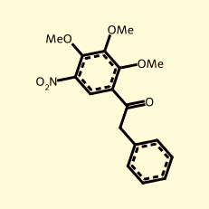 COc1c(C(=O)Cc2ccccc2)cc([N+](=O)[O-])c(OC)c1OC